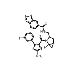 Nc1nc(C(=O)N2C(CNC(=O)c3ccc4snnc4c3)CC3C[C@@H]32)c(-c2cccc(F)c2)s1